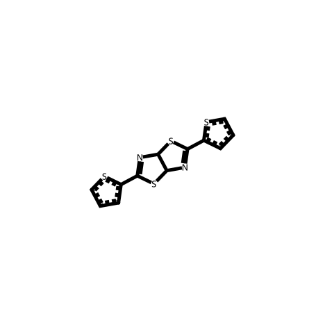 c1csc(C2=NC3SC(c4cccs4)=NC3S2)c1